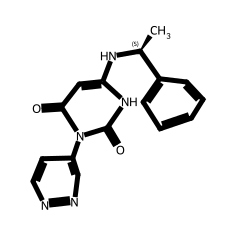 C[C@H](Nc1cc(=O)n(-c2ccnnc2)c(=O)[nH]1)c1ccccc1